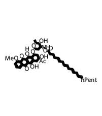 CCCCCC=CCC=CCC=CCC=CCCCC(=O)ONC1CC(O[C@H]2C[C@](O)(C(C)=O)Cc3c(O)c4c(c(O)c32)C(=O)c2c(OC)cccc2C4=O)OC(C)C1O